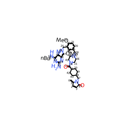 C=C1C=CC(=O)N1CC1CCC(C(=O)N2CCN(Cc3ccc(OC)c(Cn4cc5nc(N)nc(NCCCC)c5n4)c3OC)CC2)CC1